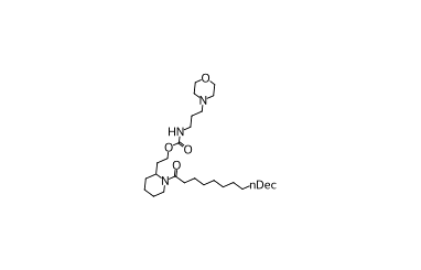 CCCCCCCCCCCCCCCCCC(=O)N1CCCCC1CCOC(=O)NCCCN1CCOCC1